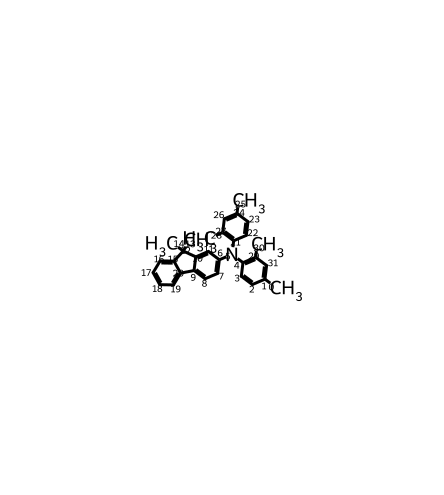 Cc1ccc(N(c2ccc3c(c2)C(C)(C)c2ccccc2-3)c2ccc(C)cc2C)c(C)c1